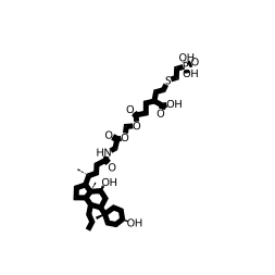 CCCC1C2CCC([C@H](C)CCC(=O)NCC(=O)OCOC(=O)CCC(CCSCCP(=O)(O)O)C(=O)O)[C@@]2(C)[C@@H](O)CC1[C@]1(C)CC[C@H](O)CC1